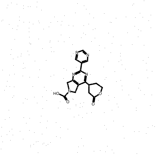 O=C1CC(c2nc(-c3cncnc3)nc3c2CN(C(=O)O)C3)CCO1